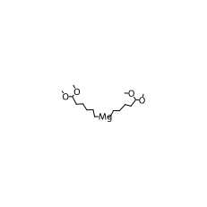 COC(CCCC[CH2][Mg][CH2]CCCCC(OC)OC)OC